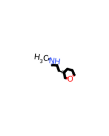 CNCCC[C@H]1CCCOC1